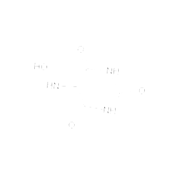 O=C1NC(=O)C(NO)C(=O)N1